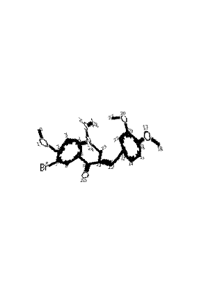 COc1cc2c(cc1Br)C(=O)/C(=C/c1ccc(OC)c(OC)c1)CN2SI